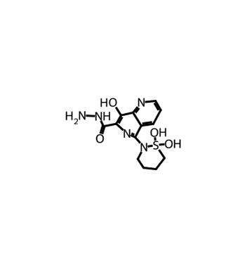 NNC(=O)c1nc(N2CCCCS2(O)O)c2cccnc2c1O